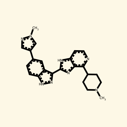 CN1CCC(c2nccc3[nH]c(-c4n[nH]c5ccc(-c6cnn(C)c6)cc45)nc23)CC1